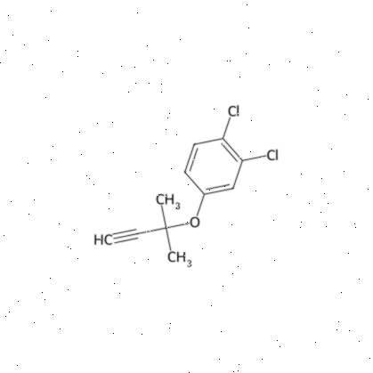 C#CC(C)(C)Oc1ccc(Cl)c(Cl)c1